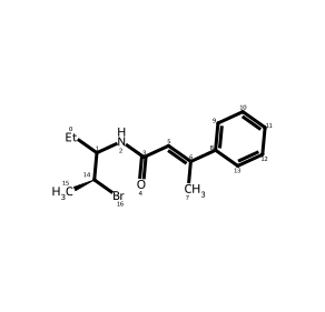 CCC(NC(=O)/C=C(\C)c1ccccc1)[C@H](C)Br